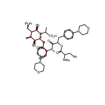 CNC(CC(C)C)C(=O)OC(Cc1ccc(N2CCOCC2)cc1)C(=O)N(C)C(CC(C)C)C(=O)OC(C)C(=O)N(C)C(CC(C)C)C(=O)OC(Cc1ccc(N2CCOCC2)cc1)C(=O)N(C)C(CC(C)C)C(=O)OC(C)C(=O)O